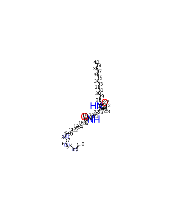 CC/C=C\C/C=C\C/C=C\CCCCCCCC(=O)NCCCC[C@H](NC(=O)CCCCCCCCCCCCC)C(C)C